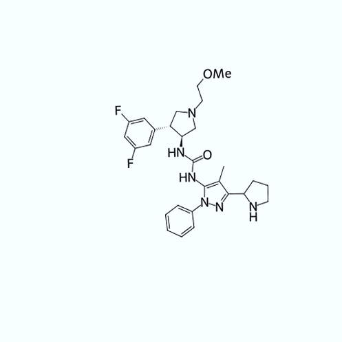 COCCN1C[C@@H](NC(=O)Nc2c(C)c(C3CCCN3)nn2-c2ccccc2)[C@H](c2cc(F)cc(F)c2)C1